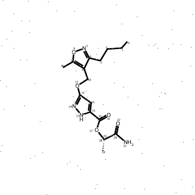 CCCCc1noc(C)c1COc1cc(C(=O)O[C@@H](C)C(N)=O)[nH]n1